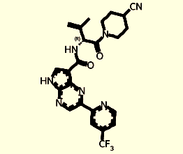 C=C(C)[C@@H](NC(=O)c1c[nH]c2ncc(-c3cc(C(F)(F)F)ccn3)nc12)C(=O)N1CCC(C#N)CC1